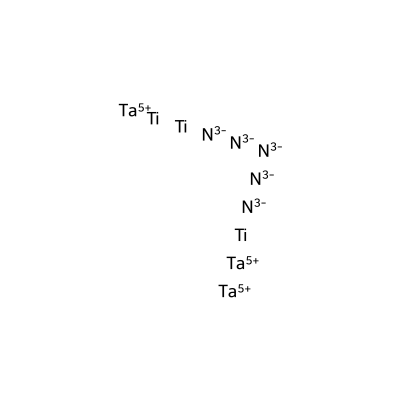 [N-3].[N-3].[N-3].[N-3].[N-3].[Ta+5].[Ta+5].[Ta+5].[Ti].[Ti].[Ti]